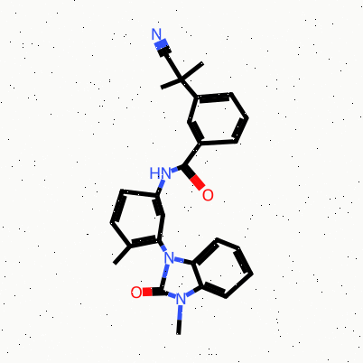 Cc1ccc(NC(=O)c2cccc(C(C)(C)C#N)c2)cc1-n1c(=O)n(C)c2ccccc21